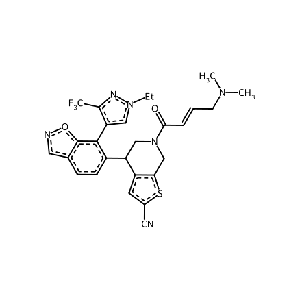 CCn1cc(-c2c(C3CN(C(=O)/C=C/CN(C)C)Cc4sc(C#N)cc43)ccc3cnoc23)c(C(F)(F)F)n1